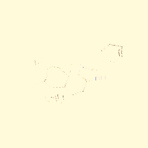 C[C@@H]1C(O)=C(C#N)C[C@]2(C)c3nc(-c4ccccc4)[nH]c3CC[C@@H]12